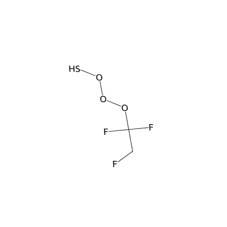 FCC(F)(F)OOOS